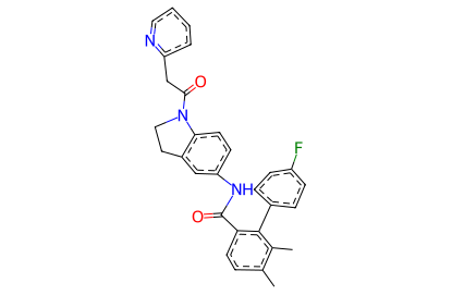 Cc1ccc(C(=O)Nc2ccc3c(c2)CCN3C(=O)Cc2ccccn2)c(-c2ccc(F)cc2)c1C